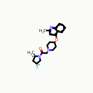 Cc1cc(OC2CCN(CC(=O)N3C[C@@H](F)C[C@H]3C)CC2)c2ccccc2n1